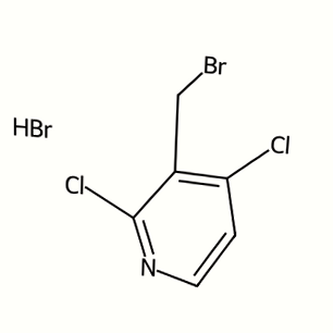 Br.Clc1ccnc(Cl)c1CBr